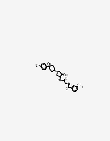 O=C(CNC(=O)c1cccc(C(F)(F)F)c1)N[C@H]1CN(C2CCC(O)(c3ccc(Br)cc3)CC2)C[C@H]1O